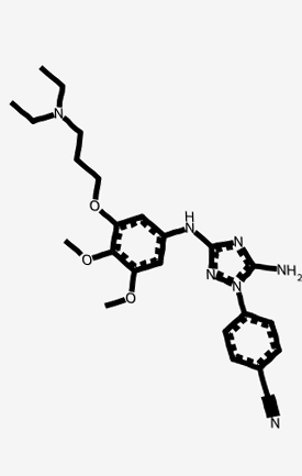 CCN(CC)CCCOc1cc(Nc2nc(N)n(-c3ccc(C#N)cc3)n2)cc(OC)c1OC